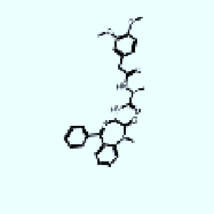 COc1ccc(CC(=O)N[C@@H](C)C(=O)N[C@H]2N=C(c3ccccc3)c3ccccc3N(C)C2=O)cc1OC